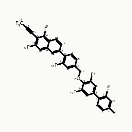 Cc1ccc(-c2cc(F)c(OCc3ccc(-c4ccc5c(F)c(C#CC(F)(F)F)c(F)cc5c4)c(F)c3)c(F)c2)c(F)c1